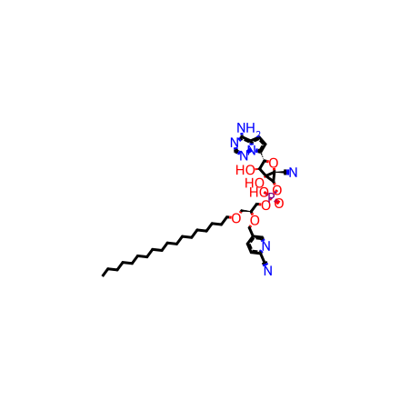 CCCCCCCCCCCCCCCCCCOC[C@@H](COP(=O)(O)OC1[C@@]2(C#N)O[C@@H](c3ccc4c(N)ncnn34)[C@H](O)[C@@]12O)OCc1ccc(C#N)nc1